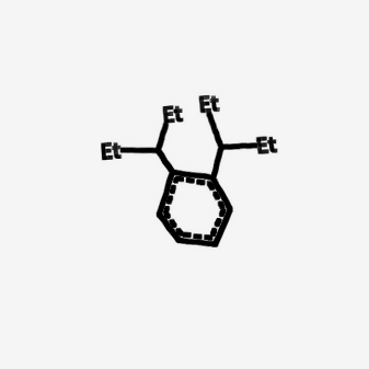 CCC(CC)c1ccccc1C(CC)CC